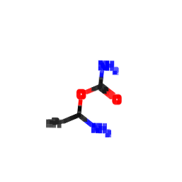 CCCC(N)OC(N)=O